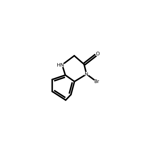 O=C1CNc2ccccc2N1Br